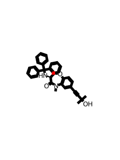 CN1C(=O)[C@@H](NC(c2ccccc2)(c2ccccc2)c2ccccc2)COc2ccc(C#CC(C)(C)O)cc21